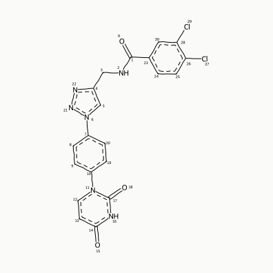 O=C(NCc1cn(-c2ccc(-n3ccc(=O)[nH]c3=O)cc2)nn1)c1ccc(Cl)c(Cl)c1